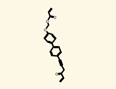 C=CC(=O)CC#Cc1ccc(-c2ccc(OCOC(=O)C=C)cc2)cc1